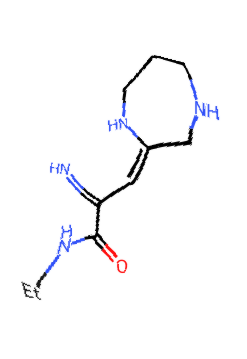 CCNC(=O)C(=N)/C=C1/CNCCCN1